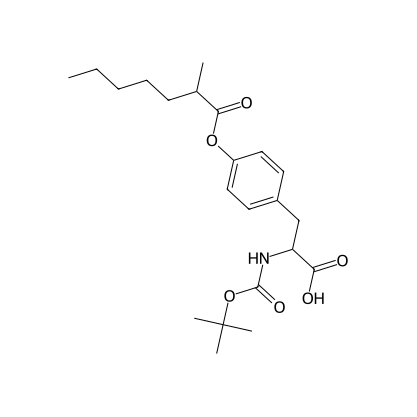 CCCCCC(C)C(=O)Oc1ccc(CC(NC(=O)OC(C)(C)C)C(=O)O)cc1